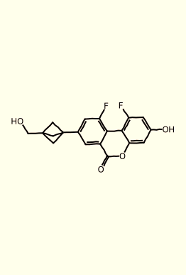 O=c1oc2cc(O)cc(F)c2c2c(F)cc(C34CC(CO)(C3)C4)cc12